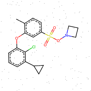 Cc1ccc(S(=O)(=O)ON2CCC2)cc1Oc1cccc(C2CC2)c1Cl